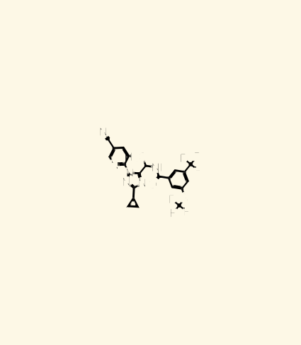 CC(NC(=O)c1cc(SC(F)(F)F)cc(C(F)(F)F)c1)c1nc(C2CC2)nn1-c1ccc(C#N)cn1